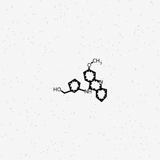 COc1ccc2c(Nc3cccc(CO)c3)c3ccccc3nc2c1